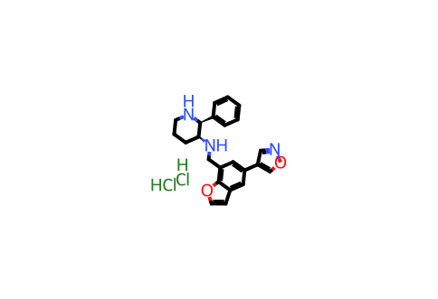 Cl.Cl.c1ccc([C@@H]2NCCC[C@@H]2NCc2cc(-c3cnoc3)cc3ccoc23)cc1